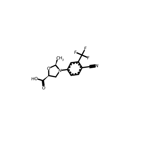 C[C@@H]1O[C@H](C(=O)O)CN1c1ccc(C#N)c(C(F)(F)F)c1